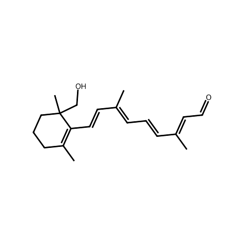 CC(C=CC=C(C)C=CC1=C(C)CCCC1(C)CO)=CC=O